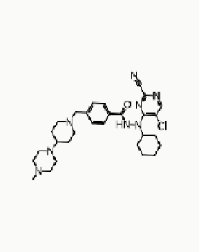 CN1CCN(C2CCN(Cc3ccc(C(=O)NN(c4nc(C#N)ncc4Cl)C4CCCCC4)cc3)CC2)CC1